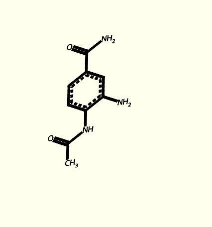 CC(=O)Nc1ccc(C(N)=O)cc1N